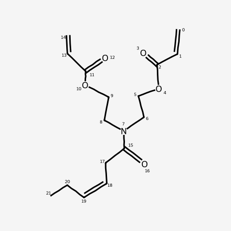 C=CC(=O)OCCN(CCOC(=O)C=C)C(=O)C/C=C\CC